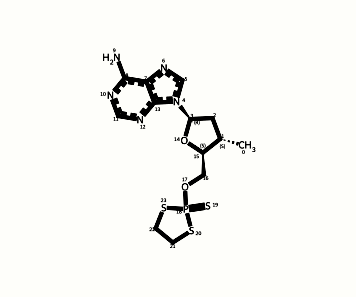 C[C@H]1C[C@H](n2cnc3c(N)ncnc32)O[C@@H]1COP1(=S)SCCS1